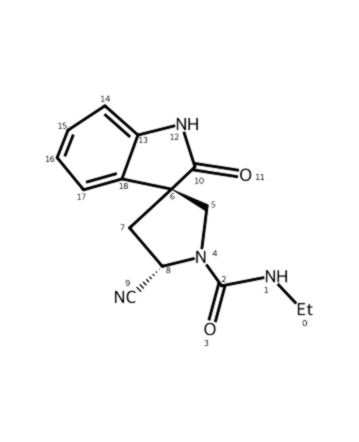 CCNC(=O)N1C[C@]2(C[C@H]1C#N)C(=O)Nc1ccccc12